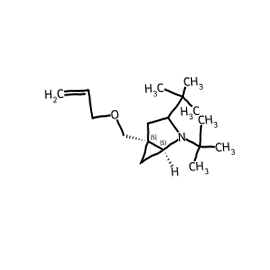 C=CCOC[C@]12CC(C(C)(C)C)N(C(C)(C)C)[C@H]1C2